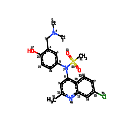 CCN(CC)Cc1cc(N(c2cc(C)nc3cc(Cl)ccc23)S(C)(=O)=O)ccc1O